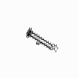 CCCCCCCCC=CCCCCCCCCO[PH](=O)[O-].CCCCCCCCC=CCCCCCCCCO[PH](=O)[O-].[Ni+2]